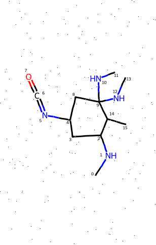 CNC1CC(N=C=O)CC(NC)(NC)C1C